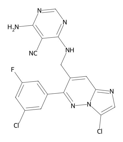 N#Cc1c(N)ncnc1NCc1cc2ncc(Cl)n2nc1-c1cc(F)cc(Cl)c1